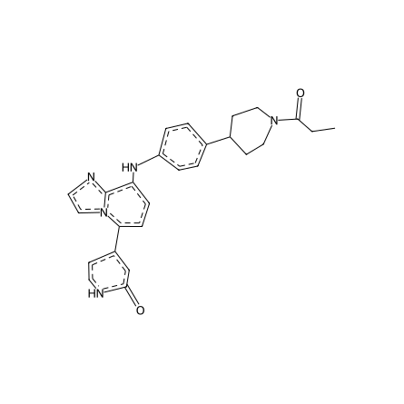 CCC(=O)N1CCC(c2ccc(Nc3ccc(-c4cc[nH]c(=O)c4)n4ccnc34)cc2)CC1